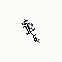 CC(=O)C1=C(O)C(C(C)C)[C@@]2(C)C[C@@]3(C)Cc4c(C(C)C)cc(CCC(=O)Cc5ccc(C(C)=O)cc5)c(O)c4C(=O)C3=C(O)[C@@]2(O)C1=O